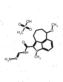 COC1CCCc2c(C(=O)NC=NN)n(C)c3cccc1c23.CS(=O)(=O)O